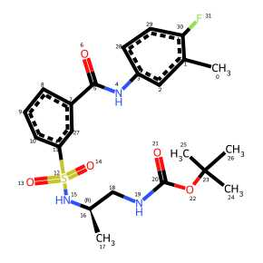 Cc1cc(NC(=O)c2cccc(S(=O)(=O)N[C@H](C)CNC(=O)OC(C)(C)C)c2)ccc1F